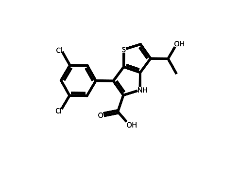 CC(O)c1csc2c(-c3cc(Cl)cc(Cl)c3)c(C(=O)O)[nH]c12